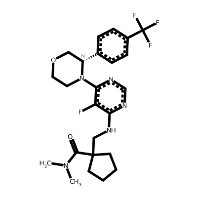 CN(C)C(=O)C1(CNc2ncnc(N3CCOC[C@@H]3c3ccc(C(F)(F)F)cc3)c2F)CCCC1